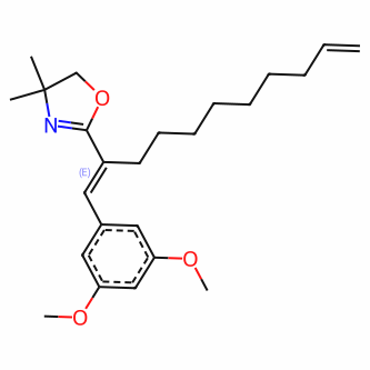 C=CCCCCCCC/C(=C\c1cc(OC)cc(OC)c1)C1=NC(C)(C)CO1